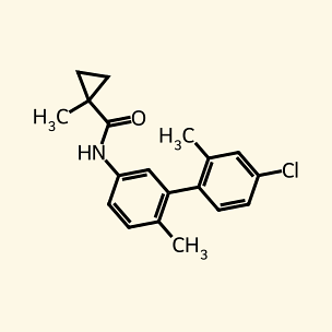 Cc1cc(Cl)ccc1-c1cc(NC(=O)C2(C)CC2)ccc1C